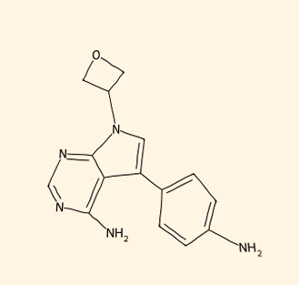 Nc1ccc(-c2cn(C3COC3)c3ncnc(N)c23)cc1